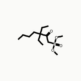 CCCCC(CC)(CC)C(=O)CP(=O)(OC)OC